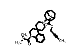 CC#CCOC(=O)N1CC2CCC1CC(N1CCC3(CCN(C(=O)N(C)C)c4ccccc43)CC1)C2